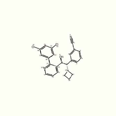 N#Cc1cccc([C@@H]([C@H](O)c2cccnc2-c2cc(Cl)cc(Cl)c2)N2CCC2)c1